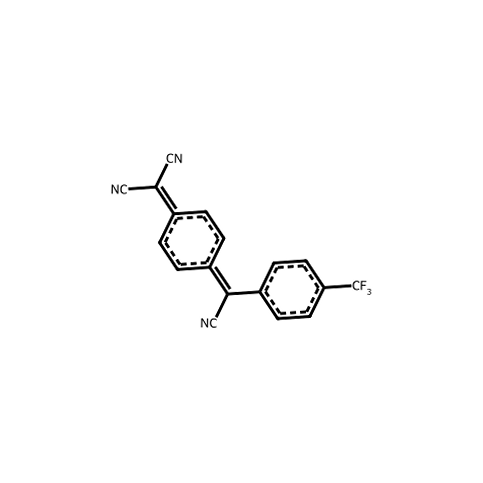 N#CC(C#N)=c1ccc(=C(C#N)c2ccc(C(F)(F)F)cc2)cc1